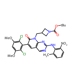 COc1cc(OC)c(Cl)c(-c2cc3cnc(Nc4c(C)cccc4[N+](=O)[O-])nc3n(CC3CN(C(=O)OC(C)(C)C)C3)c2=O)c1Cl